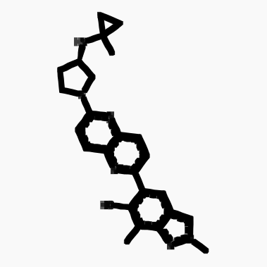 Cc1c(O)c(-c2ccc3nc(N4CC[C@@H](NC5(C)CC5)C4)ccc3n2)cc2cn(C)nc12